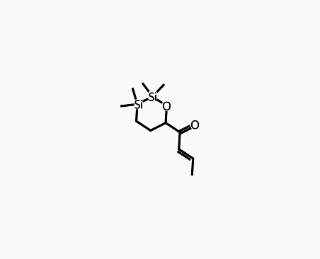 C/C=C/C(=O)C1CC[Si](C)(C)[Si](C)(C)O1